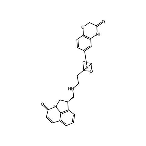 O=C1COc2ccc(N3CC4(CCNC[C@@H]5Cn6c(=O)ccc7cccc5c76)OC3O4)cc2N1